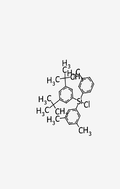 Cc1cccc([Si](Cl)(c2cc(C)cc(C)c2)c2cc(C(C)(C)C)cc(C(C)(C)C)c2)c1